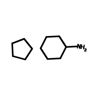 C1CCCC1.NC1CCCCC1